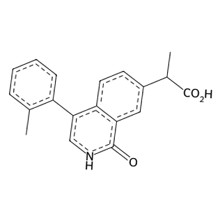 Cc1ccccc1-c1c[nH]c(=O)c2cc(C(C)C(=O)O)ccc12